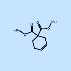 CCCCOC(=O)C1(C(=O)OCCCC)CC=CCC1